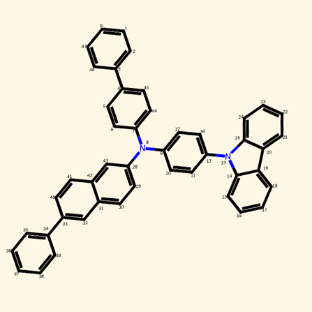 c1ccc(-c2ccc(N(c3ccc(-n4c5ccccc5c5ccccc54)cc3)c3ccc4cc(-c5ccccc5)ccc4c3)cc2)cc1